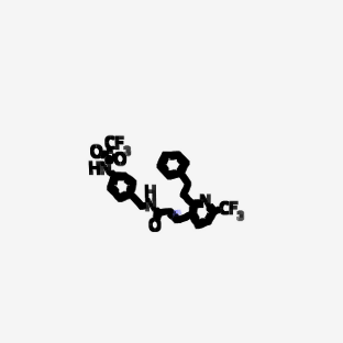 O=C(/C=C/c1ccc(C(F)(F)F)nc1CCc1ccccc1)NCc1ccc(NS(=O)(=O)C(F)(F)F)cc1